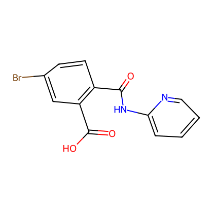 O=C(O)c1cc(Br)ccc1C(=O)Nc1ccccn1